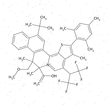 C=C(O)C1(C)[n+]2cc(C(C(F)(F)F)C(F)(F)F)c3c(C)c(-c4c(C)cc(C)cc4C)sc3c2-c2cc(C(C)(C)C)c3ccccc3c2C1(C)COC